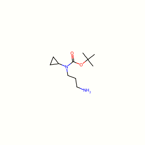 CC(C)(C)OC(=O)N(CCCN)C1CC1